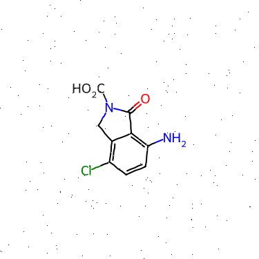 Nc1ccc(Cl)c2c1C(=O)N(C(=O)O)C2